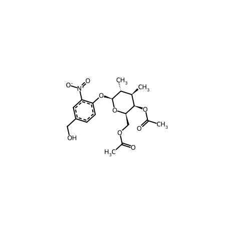 CC(=O)OC[C@H]1O[C@@H](Oc2ccc(CO)cc2[N+](=O)[O-])[C@H](C)[C@@H](C)[C@H]1OC(C)=O